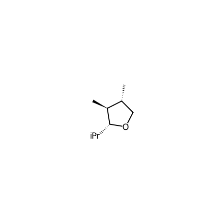 CC(C)[C@H]1OC[C@@H](C)[C@@H]1C